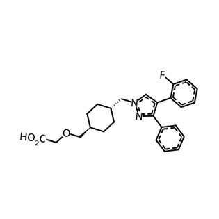 O=C(O)COC[C@H]1CC[C@H](Cn2cc(-c3ccccc3F)c(-c3ccccc3)n2)CC1